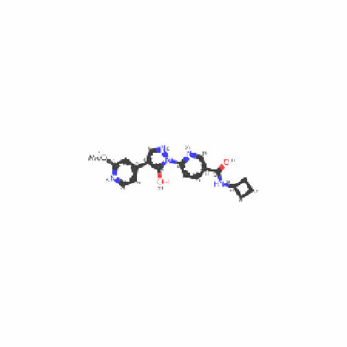 COc1cc(-c2cnn(-c3ccc(C(=O)NC4CCC4)cn3)c2O)ccn1